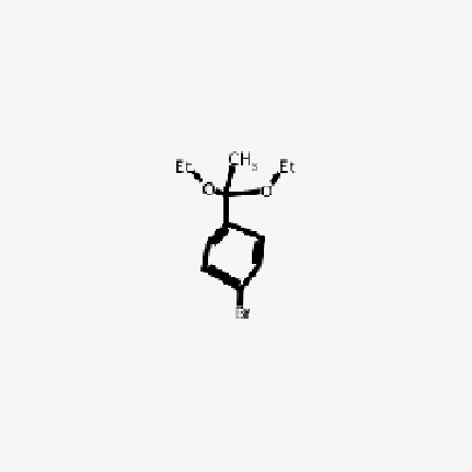 CCOC(C)(OCC)c1ccc(Br)cc1